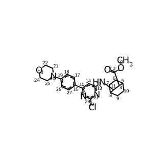 COC(=O)C1C2CCC(CC2)C1Nc1cc(-c2ccc(N3CCOCC3)cc2)nc(Cl)n1